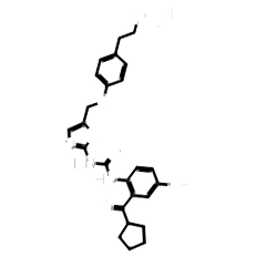 Cc1ccc(NC(=O)Nc2ncc(CSc3ccc(CCC(=O)O)cc3)s2)c(C(=O)C2CCCC2)c1